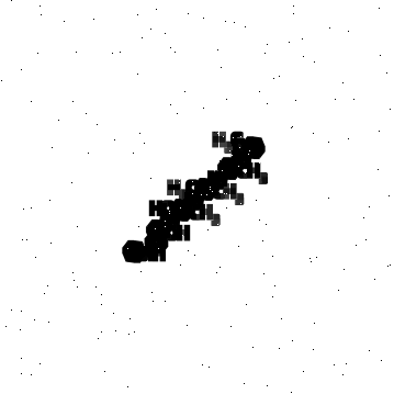 COc1ccccc1N=Nc1ccc(N=Nc2cc(C)c(N=Nc3cc(O)c(N=Nc4ccc5cc(Nc6ccccc6)ccc5c4O)cc3C)cc2C)cc1C